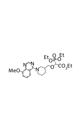 CCOC(=O)C(OCC1CCCN(c2ncnc3c(OC)cccc23)C1)P(=O)(OCC)OCC